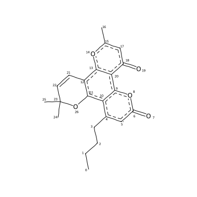 CCCCc1[c]c(=O)oc2c1c1c(c3oc(C)cc(=O)c32)C=CC(C)(C)O1